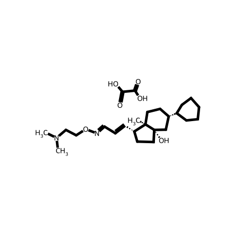 CN(C)CCON=CC=C[C@H]1CC[C@]2(O)C[C@@H](C3CCCCC3)CC[C@]12C.O=C(O)C(=O)O